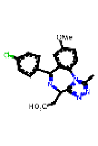 COc1ccc2c(c1)C(c1ccc(Cl)cc1)=NC(CC(=O)O)c1nnc(C)n1-2